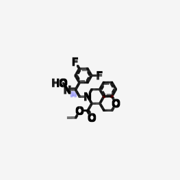 CCOC(=O)C(C1CCOCC1)N(C/C(=N/O)c1cc(F)cc(F)c1)Cc1ccccc1